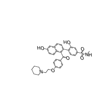 CNS(=O)(=O)c1ccc(-c2ccc3cc(O)ccc3c2C(=O)c2ccc(OCCN3CCCCC3)cc2)c(O)c1